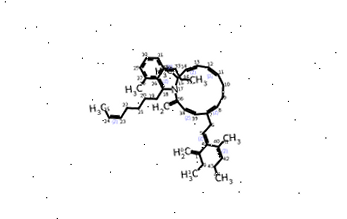 C=C(CC)C(=C/CC1=C/CC/C=C\C=C/C(C)N(/C(CCCC/C=C\C)=c2/c(C)ccc/c2=C/CC)C(=C)/C=C\1)/C(C)=C\CC